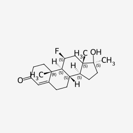 C[C@]12CCC(=O)C=C1CC[C@@H]1[C@@H]2[C@@H](F)C[C@@]2(C)[C@H]1CC[C@]2(C)O